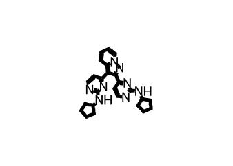 c1ccn2nc(-c3ccnc(NC4CCCC4)n3)c(-c3ccnc(NC4CCCC4)n3)c2c1